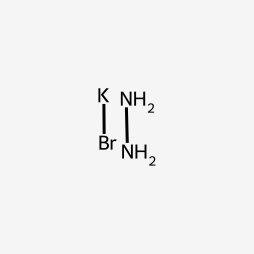 NN.[K][Br]